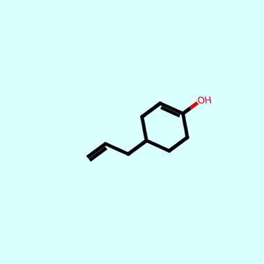 C=CCC1CC=C(O)CC1